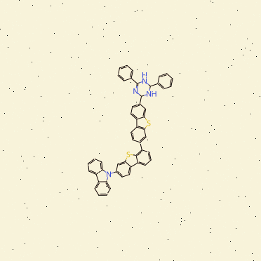 c1ccc(C2=NC(c3ccc4c(c3)sc3cc(-c5cccc6c5sc5cc(-n7c8ccccc8c8ccccc87)ccc56)ccc34)NC(c3ccccc3)N2)cc1